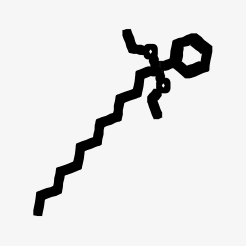 CCCCCCCCCCCC[Si](OCC)(OCC)c1ccccc1